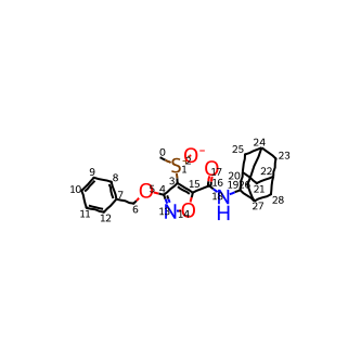 C[S+]([O-])c1c(OCc2ccccc2)noc1C(=O)NC1C2CC3CC(C2)CC1C3